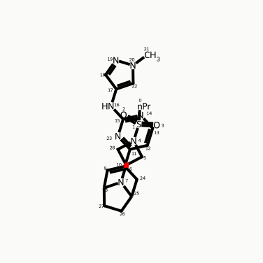 CCCS(=O)(=O)N1CC(N2C3C=C(c4ccnc(Nc5cnn(C)c5)n4)CC2CC3)C1